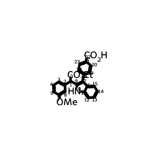 CCOC(=O)C(c1cccc(OC)c1)c1[nH]c2ccccc2c1-c1ccc(C(=O)O)cc1